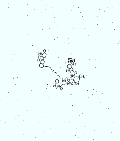 CN1CC[C@H]2CC[C@@H](C(=O)N[C@@H](CCC(N)=O)C(=O)N(CCCCCCCCCC#Cc3cccc4c3CN(C3CCC(=O)NC3=O)C4=O)Cc3ccccc3)N2C(=O)[C@@H](NC(=O)c2cc3cc(C(F)(F)P(=O)(O)O)ccc3[nH]2)C1